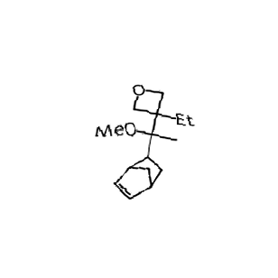 CCC1(C(C)(OC)C2CC3C=CC2C3)COC1